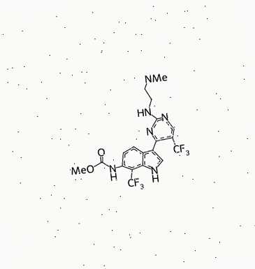 CNCCNc1ncc(C(F)(F)F)c(-c2c[nH]c3c(C(F)(F)F)c(NC(=O)OC)ccc23)n1